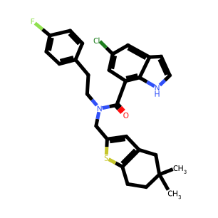 CC1(C)CCc2sc(CN(CCc3ccc(F)cc3)C(=O)c3cc(Cl)cc4cc[nH]c34)cc2C1